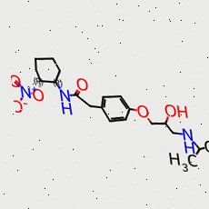 CC(C)NCC(O)COc1ccc(CC(=O)N[C@@H]2CCCC[C@H]2O[N+](=O)[O-])cc1